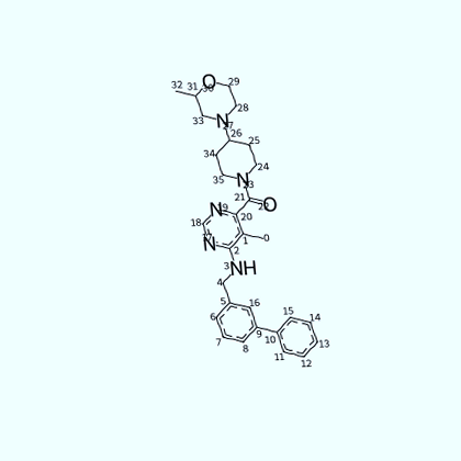 Cc1c(NCc2cccc(-c3ccccc3)c2)ncnc1C(=O)N1CCC(N2CCOC(C)C2)CC1